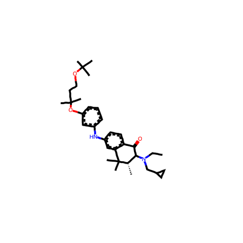 CCN(CC1CC1)C1C(=O)c2ccc(Nc3cccc(OC(C)(C)CCOC(C)(C)C)c3)cc2C(C)(C)[C@H]1C